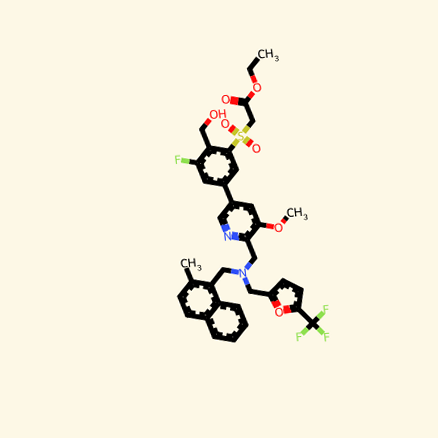 CCOC(=O)CS(=O)(=O)c1cc(-c2cnc(CN(Cc3ccc(C(F)(F)F)o3)Cc3c(C)ccc4ccccc34)c(OC)c2)cc(F)c1CO